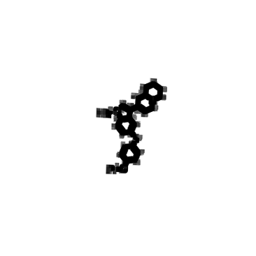 Br.CC(C)Oc1ccc(Sc2ccc3occ(C4=CCN5CCCCC5C4)c3c2)cc1